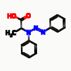 CC(C(=O)O)N(N=Nc1ccccc1)c1ccccc1